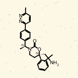 Cc1ccc(-c2ccc([C@H](C)N3CC[C@](CC(C)(C)N)(c4ccccc4)OC3=O)cc2)nn1